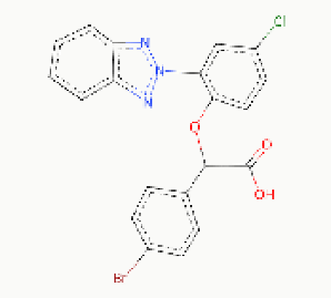 O=C(O)C(Oc1ccc(Cl)cc1-n1nc2ccccc2n1)c1ccc(Br)cc1